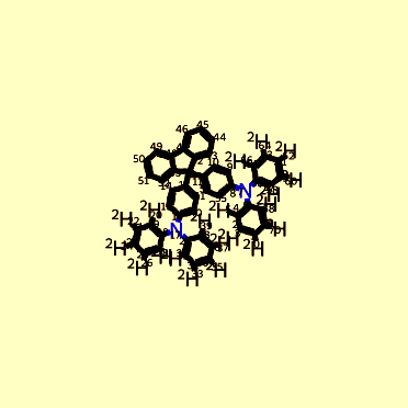 [2H]c1c([2H])c([2H])c(N(c2ccc(C3(c4ccc(N(c5c([2H])c([2H])c([2H])c([2H])c5[2H])c5c([2H])c([2H])c([2H])c([2H])c5[2H])cc4)c4ccccc4-c4ccccc43)cc2)c2c([2H])c([2H])c([2H])c([2H])c2[2H])c([2H])c1[2H]